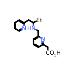 CCC(Cc1ccccn1)NCc1cccc(CC(=O)O)n1